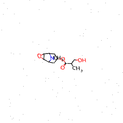 CC(CO)C(=O)OC1CC2C3OC3C(C1)N2C